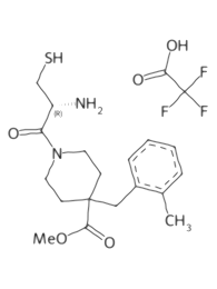 COC(=O)C1(Cc2ccccc2C)CCN(C(=O)[C@@H](N)CS)CC1.O=C(O)C(F)(F)F